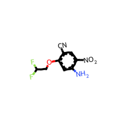 N#Cc1cc([N+](=O)[O-])c(N)cc1OCC(F)F